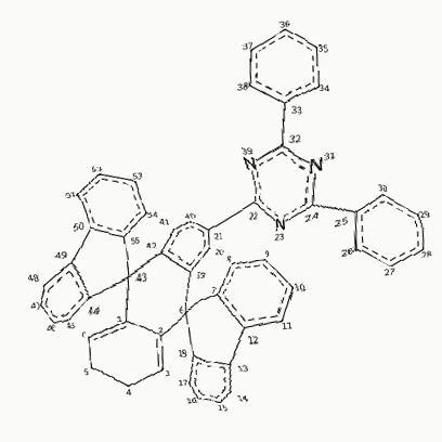 C1=C2C(=CCC1)C1(c3ccccc3-c3ccccc31)c1cc(-c3nc(-c4ccccc4)nc(-c4ccccc4)n3)ccc1C21c2ccccc2-c2ccccc21